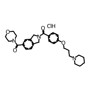 Cl.O=C(c1ccc2c(c1)CN(C(=O)c1ccc(OCCCN3CCCCC3)cc1)C2)N1CCOCC1